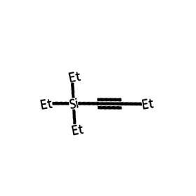 CCC#C[Si](CC)(CC)CC